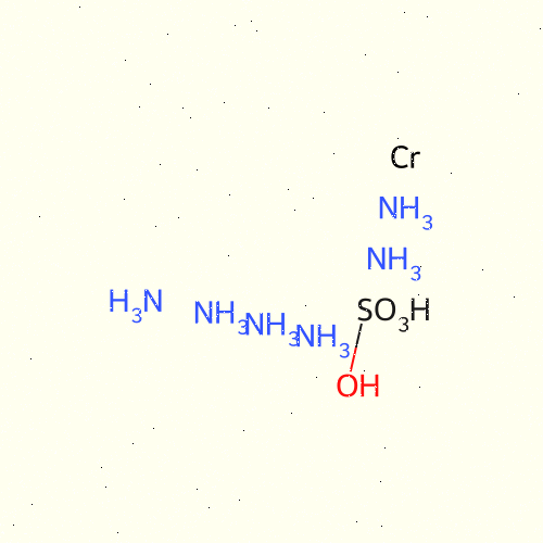 N.N.N.N.N.N.O=S(=O)(O)O.[Cr]